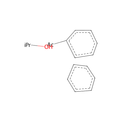 CC(=O)c1ccccc1.CC(C)O.c1ccccc1